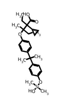 CCC(C)(Oc1ccc(C(C)(C)c2ccc(O[Si](C)(C)O)cc2)cc1)C(CC)(C(=O)O)C1CC1